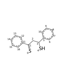 S=C(CC(S)c1ccccc1)c1ccccc1